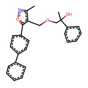 Cc1noc(-c2ccc(-c3cc[c]cc3)cc2)c1COCC(C)(O)c1ccccc1